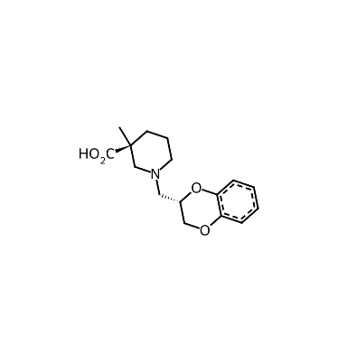 C[C@]1(C(=O)O)CCCN(C[C@H]2COc3ccccc3O2)C1